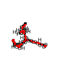 CC(=O)N[C@H]1[C@H]([C@H](O)[C@H](O)CNC(=O)c2ccc(-c3ccccc3)cc2)O[C@@](OCCCSCCNC(=O)c2ccc(C(=O)NCCSCCCO[C@]3(C(=O)O)C[C@H](O)C[C@H]([C@H](O)[C@H](O)CNC(=O)c4ccc(-c5ccccc5)cc4)O3)cc2OCCOCCOCCOCCOCCOCCNC(=O)CCCCCN2C(=O)C=CC2=O)(C(=O)O)C[C@@H]1O